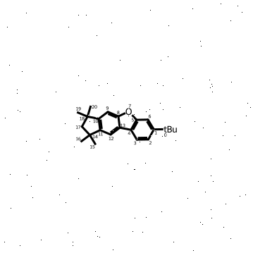 CC(C)(C)c1ccc2c(c1)oc1cc3c(cc12)C(C)(C)CC3(C)C